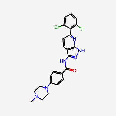 CN1CCN(c2ccc(C(=O)Nc3n[nH]c4nc(-c5c(Cl)cccc5Cl)ccc34)cc2)CC1